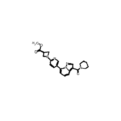 COC(=O)C1CN(c2ccc(-c3cccc4c(C(=O)N5CCCCC5)cnn34)cn2)C1